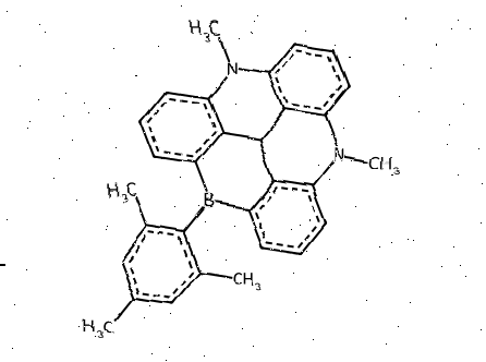 Cc1cc(C)c(B2c3cccc4c3C3c5c2cccc5N(C)c2cccc(c23)N4C)c(C)c1